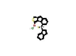 [Cl-].[Cl-].[S]=[Zr+2]([c]1cccc2c1C1=C(Br)SCC1=C2)[CH]1C=Cc2ccccc21